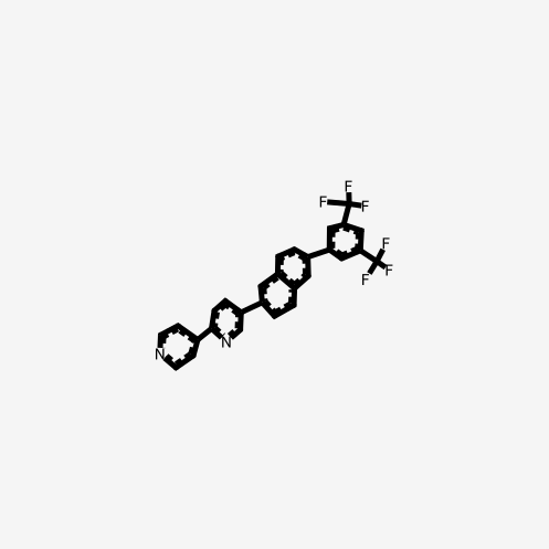 FC(F)(F)c1cc(-c2ccc3cc(-c4ccc(-c5ccncc5)nc4)ccc3c2)cc(C(F)(F)F)c1